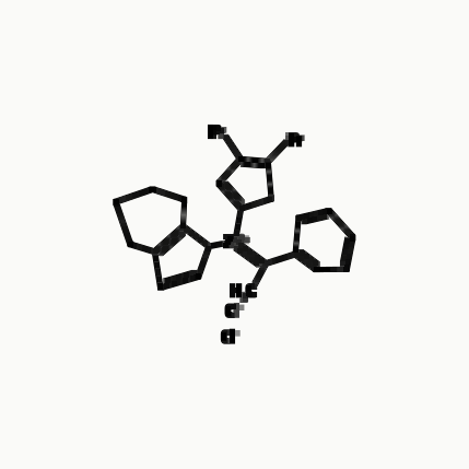 C/[C](c1ccccc1)=[Zr+2](/[C]1=CC(C(C)C)=C(C(C)C)C1)[CH]1C=CC2=C1CCCC2.[Cl-].[Cl-]